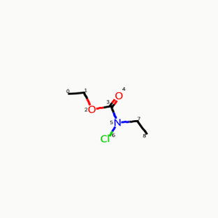 CCOC(=O)N(Cl)CC